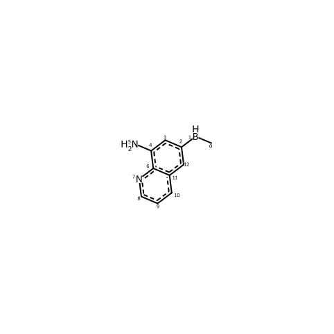 CBc1cc(N)c2ncccc2c1